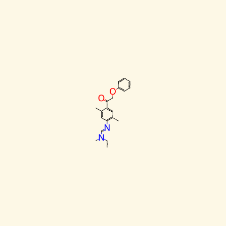 CCN(C)C=Nc1cc(C)c(C(=O)COc2ccccc2)cc1C